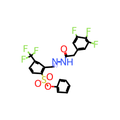 O=C(Cc1cc(F)c(F)c(F)c1)N/N=C/c1cc(C(F)(F)F)ccc1S(=O)(=O)Oc1ccccc1